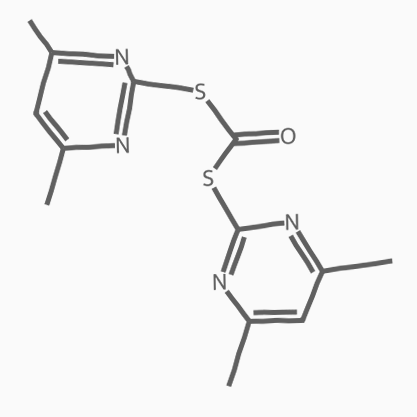 Cc1cc(C)nc(SC(=O)Sc2nc(C)cc(C)n2)n1